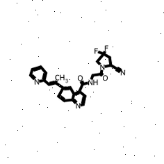 CC(=Cc1ccccn1)c1ccc2nccc(C(=O)NCC(=O)N3CC(F)(F)CC3C#N)c2c1